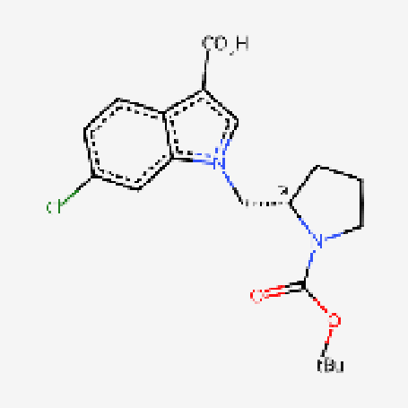 CC(C)(C)OC(=O)N1CCC[C@H]1Cn1cc(C(=O)O)c2ccc(Cl)cc21